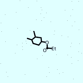 CCC(=O)OC1CCC(C)C(C)C1